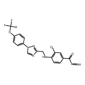 N=NC(=O)c1ccc(NCc2ncn(-c3ccc(OC(F)(F)F)cc3)n2)c(Cl)c1